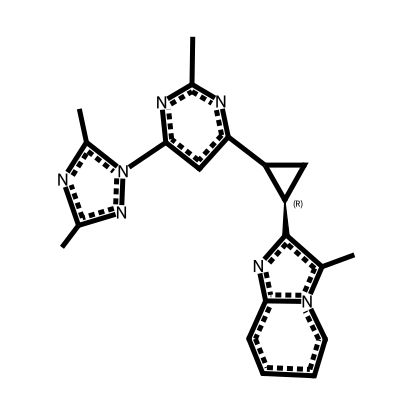 Cc1nc(C2C[C@H]2c2nc3ccccn3c2C)cc(-n2nc(C)nc2C)n1